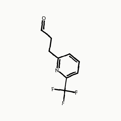 O=CCCc1cccc(C(F)(F)F)n1